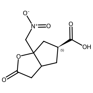 O=C1CC2C[C@H](C(=O)O)CC2(C[N+](=O)[O-])O1